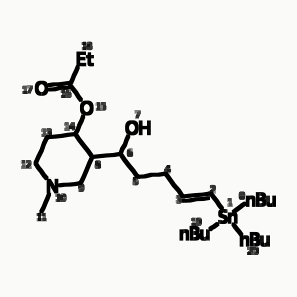 CCC[CH2][Sn]([CH]=CCCC(O)C1CN(C)CCC1OC(=O)CC)([CH2]CCC)[CH2]CCC